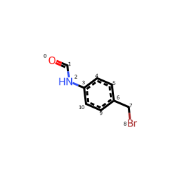 O=CNc1ccc(CBr)cc1